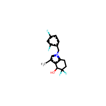 OC1c2c(C(F)(F)F)cn(Cc3ccc(F)cc3F)c2CCC1(F)F